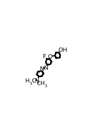 CN(C)c1ccc(N=Nc2ccc(Oc3cccc(O)c3)c(F)c2)cc1